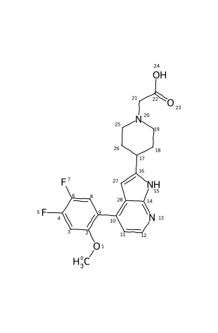 COc1cc(F)c(F)cc1-c1ccnc2[nH]c(C3CCN(CC(=O)O)CC3)cc12